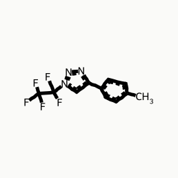 Cc1ccc(-c2cn(C(F)(F)C(F)(F)F)nn2)cc1